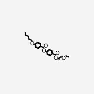 CCCCCOc1ccc(C(=O)Oc2ccc(C(=O)O[C@@H](C)COCC)cc2)cc1